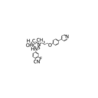 CC(C)(C=O)N(CCCOc1ccc(-c2ccncc2)cc1)SNc1ccc(C#N)c(F)c1